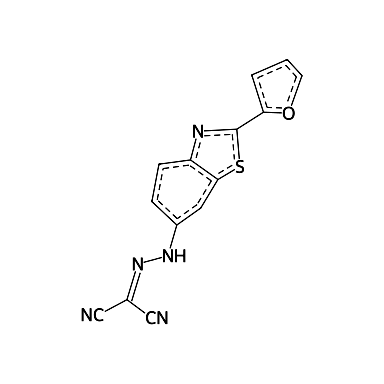 N#CC(C#N)=NNc1ccc2nc(-c3ccco3)sc2c1